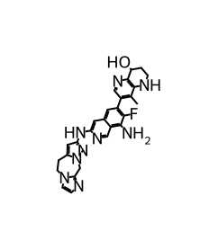 Cc1c(-c2cc3cc(Nc4cc5n(n4)Cc4nccn4CC5)ncc3c(N)c2F)cnc2c1NCCC2O